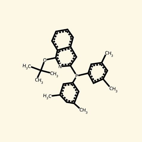 Cc1cc(C)cc(P(c2cc(C)cc(C)c2)c2cc3ccccc3c(OC(C)(C)C)n2)c1